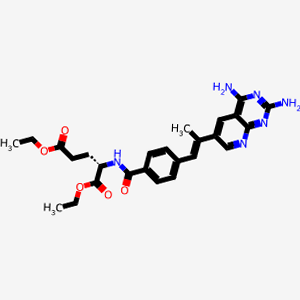 CCOC(=O)CC[C@H](NC(=O)c1ccc(/C=C(\C)c2cnc3nc(N)nc(N)c3c2)cc1)C(=O)OCC